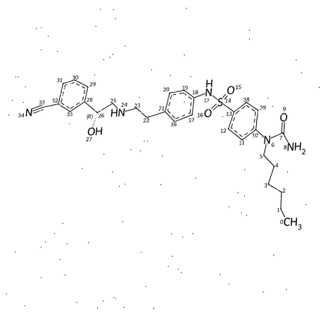 CCCCCCN(C(N)=O)c1ccc(S(=O)(=O)Nc2ccc(CCNC[C@H](O)c3cccc(C#N)c3)cc2)cc1